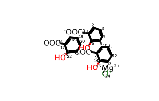 O=C([O-])c1ccccc1O.O=C([O-])c1ccccc1O.O=C([O-])c1ccccc1O.[Cl+].[Mg+2]